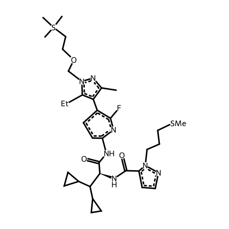 CCc1c(-c2ccc(NC(=O)[C@@H](NC(=O)c3ccnn3CCCSC)C(C3CC3)C3CC3)nc2F)c(C)nn1COCCS(C)(C)C